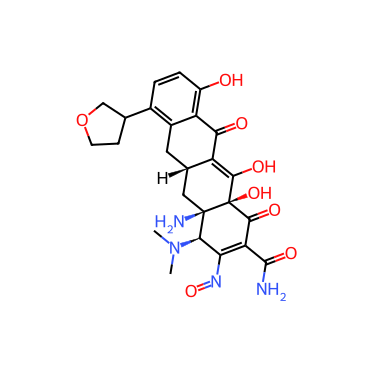 CN(C)[C@@H]1C(N=O)=C(C(N)=O)C(=O)[C@@]2(O)C(O)=C3C(=O)c4c(O)ccc(C5CCOC5)c4C[C@H]3C[C@@]12N